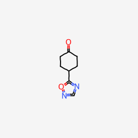 O=C1CCC(c2ncno2)CC1